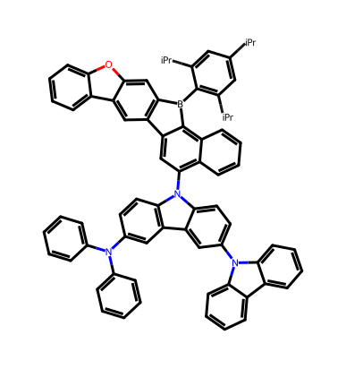 CC(C)c1cc(C(C)C)c(B2c3cc4oc5ccccc5c4cc3-c3cc(-n4c5ccc(N(c6ccccc6)c6ccccc6)cc5c5cc(-n6c7ccccc7c7ccccc76)ccc54)c4ccccc4c32)c(C(C)C)c1